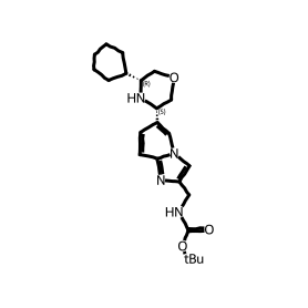 CC(C)(C)OC(=O)NCc1cn2cc([C@H]3COC[C@@H](C4CCCCC4)N3)ccc2n1